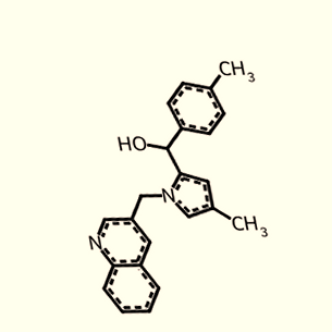 Cc1ccc(C(O)c2cc(C)cn2Cc2cnc3ccccc3c2)cc1